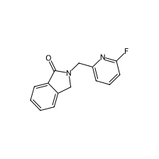 O=C1c2ccccc2CN1Cc1cccc(F)n1